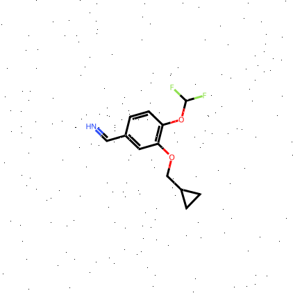 N=Cc1ccc(OC(F)F)c(OCC2CC2)c1